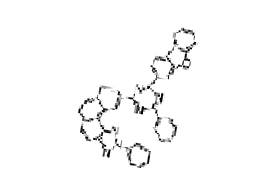 c1ccc(-c2nc(-c3ccc4c(c3)oc3ccccc34)nc(-c3ccc4ccc5ccc6nn(-c7ccccc7)nc6c5c4c3)n2)cc1